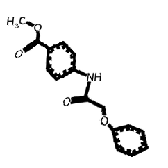 COC(=O)c1ccc(NC(=O)COc2ccccc2)cc1